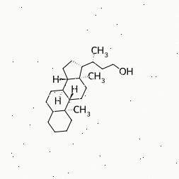 C[C@H](CCO)[C@H]1CC[C@H]2[C@@H]3CCC4CCCC[C@]4(C)[C@H]3CC[C@]12C